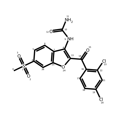 CS(=O)(=O)c1ccc2c(NC(N)=O)c(C(=O)c3ccc(Cl)cc3Cl)oc2c1